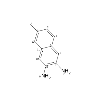 Cc1ccc2cc(N)c(N)cc2c1